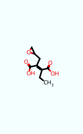 CC/C(C(=O)O)=C(/CC1CO1)C(=O)O